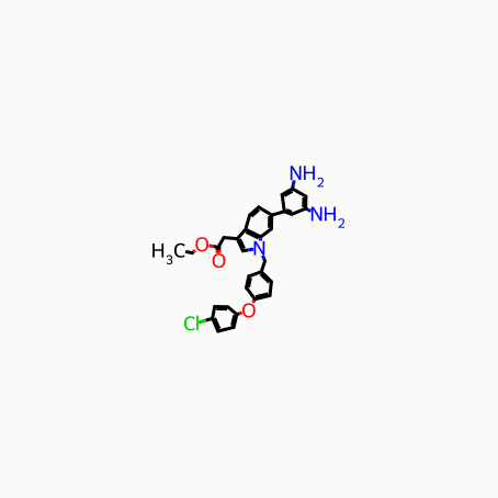 CCOC(=O)Cc1cn(Cc2ccc(Oc3ccc(Cl)cc3)cc2)c2cc(-c3cc(N)cc(N)c3)ccc12